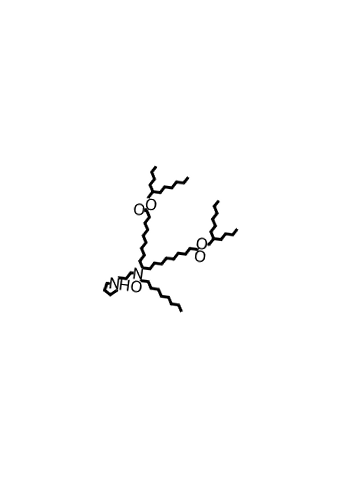 CCCCCCCCC(O)N(CCCN1CCCC1)C(CCCCCCCCC(=O)OCC(CCCC)CCCCCC)CCCCCCCCC(=O)OCC(CCCC)CCCCCC